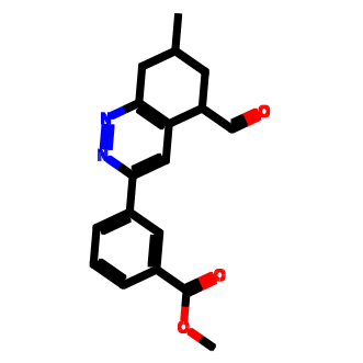 COC(=O)c1cccc(-c2cc3c(nn2)CC(C)CC3C=O)c1